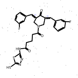 O=C(CCCC(=O)N1C/C(=C\c2cccc(F)c2)C(=O)/C(=C/c2cccc(F)c2)C1)Nc1nnc(S)s1